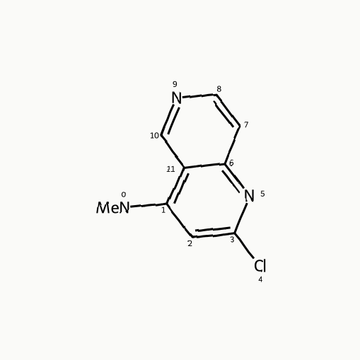 CNc1cc(Cl)nc2ccncc12